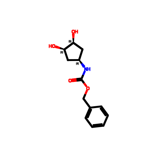 O=C(N[C@H]1C[C@@H](O)[C@@H](O)C1)OCc1ccccc1